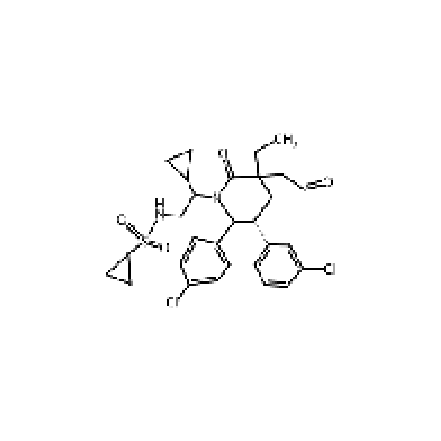 CCC1(CC=O)C[C@H](c2cccc(Cl)c2)C(c2ccc(Cl)cc2)N(C(CNS(=O)(=O)C2CC2)C2CC2)C1=O